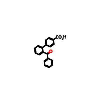 O=C(O)c1ccc(-c2ccccc2C(=O)c2ccccc2)cc1